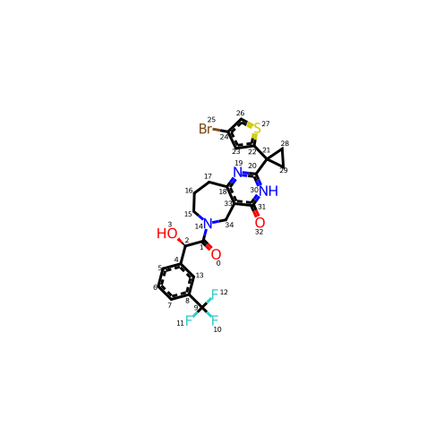 O=C([C@H](O)c1cccc(C(F)(F)F)c1)N1CCCc2nc(C3(c4cc(Br)cs4)CC3)[nH]c(=O)c2C1